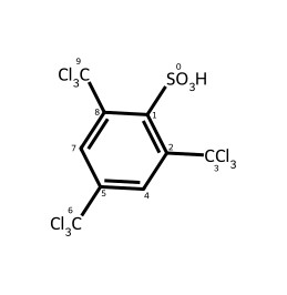 O=S(=O)(O)c1c(C(Cl)(Cl)Cl)cc(C(Cl)(Cl)Cl)cc1C(Cl)(Cl)Cl